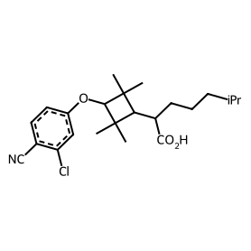 CC(C)CCCC(C(=O)O)C1C(C)(C)C(Oc2ccc(C#N)c(Cl)c2)C1(C)C